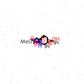 COC(=O)c1coc(-c2nc3oc2[C@@]24c5ccccc5NC2Oc2ccc(cc24)C[C@H](CC(=O)[C@@H](O)C(C)C)C(=O)C[C@H]3C(C)C)n1